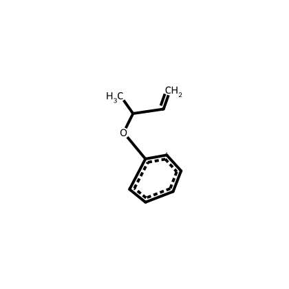 C=CC(C)Oc1[c]cccc1